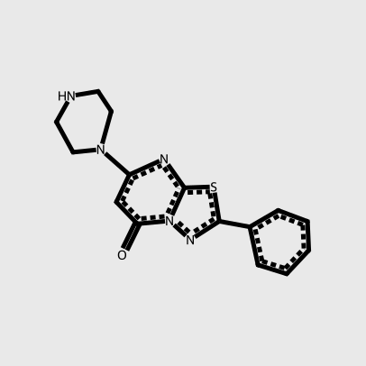 O=c1cc(N2CCNCC2)nc2sc(-c3ccccc3)nn12